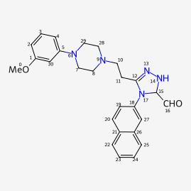 COc1cccc(N2CCN(CCC3=NNC(C=O)N3c3ccc4ccccc4c3)CC2)c1